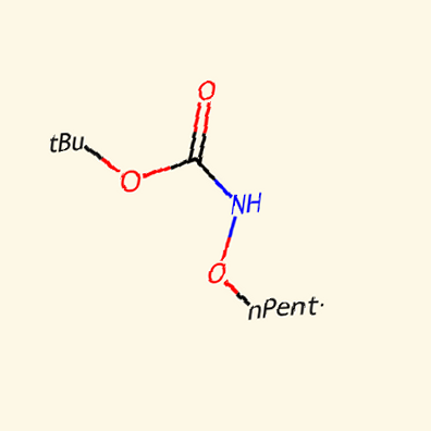 CCCC[CH]ONC(=O)OC(C)(C)C